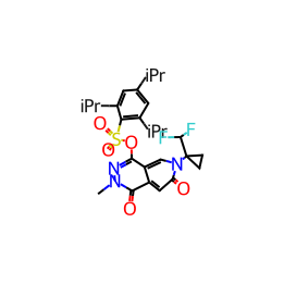 CC(C)c1cc(C(C)C)c(S(=O)(=O)Oc2nn(C)c(=O)c3cc(=O)n(C4(C(F)F)CC4)cc23)c(C(C)C)c1